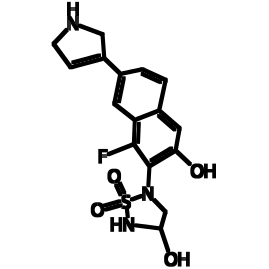 O=S1(=O)NC(O)CN1c1c(O)cc2ccc(C3=CCNC3)cc2c1F